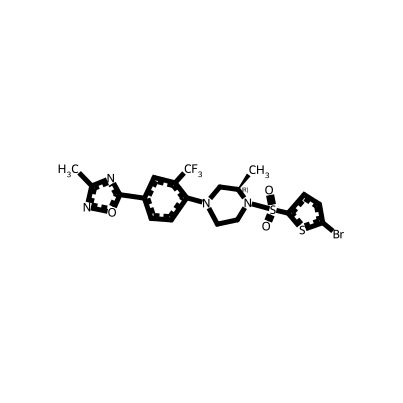 Cc1noc(-c2ccc(N3CCN(S(=O)(=O)c4ccc(Br)s4)[C@H](C)C3)c(C(F)(F)F)c2)n1